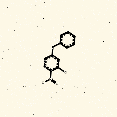 O=[N+]([O-])c1ccc(Cc2ccccc2)cc1Cl